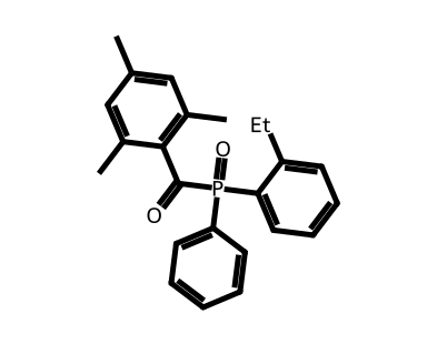 CCc1ccccc1P(=O)(C(=O)c1c(C)cc(C)cc1C)c1ccccc1